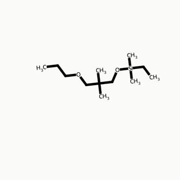 CCCOCC(C)(C)CO[Si](C)(C)CC